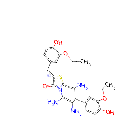 CCOc1cc(/C=c2\sc3n(c2=O)C(N)=C(N)C(c2ccc(O)c(OCC)c2)C=3N)ccc1O